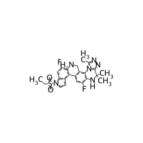 CCS(=O)(=O)n1ccc2c(-c3cc(F)c4c(c3CN)-n3c(C)nnc3C(C)(C)N4)cc(F)cc21